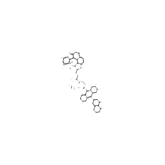 C=C(/C=C\C(=C)c1c2ccccc2c(-c2ccc3ccccc3c2)c2ccccc12)/C(C)=C/C=C1\Cc2ccc3ccc4sc5ccccc5c4c3c2C1(C)C